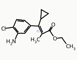 CCOC(=O)/C(C)=C(/c1ccc(Cl)c(N)c1)C1CC1